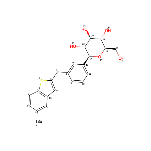 CC(C)(C)c1ccc2sc(Cc3cccc([C@@H]4O[C@H](CO)[C@@H](O)[C@H](O)[C@H]4O)c3)cc2c1